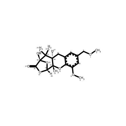 COCc1cc2c(c(OC)c1)O[C@]1(C)[C@@H]3OC(=O)[C@@](O)(O3)C(C)(C)[C@H]1C2